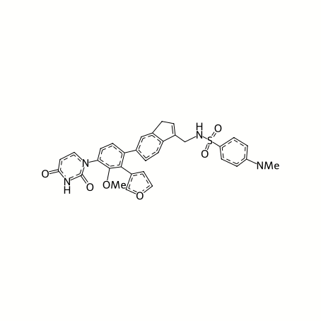 CNc1ccc(S(=O)(=O)NCC2=CCc3cc(-c4ccc(-n5ccc(=O)[nH]c5=O)c(OC)c4-c4ccoc4)ccc32)cc1